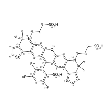 CC1(C)c2ccsc2-c2cc3c(cc2N1CCCS(=O)(=O)O)Oc1cc2c(cc1=C3c1c(F)c(F)cc(F)c1S(=O)(=O)O)-c1sccc1C(C)(C)[N+]=2CCCS(=O)(=O)O